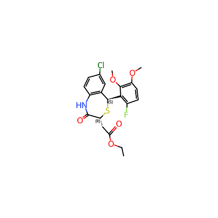 CCOC(=O)C[C@H]1S[C@H](c2c(F)ccc(OC)c2OC)c2cc(Cl)ccc2NC1=O